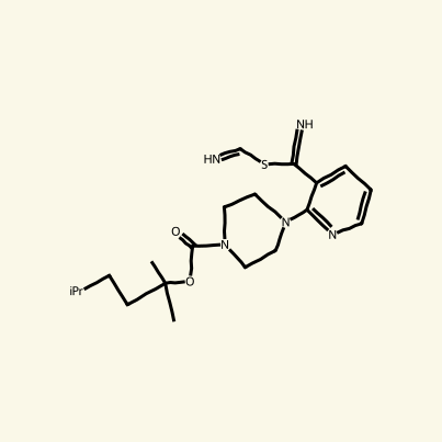 CC(C)CCC(C)(C)OC(=O)N1CCN(c2ncccc2C(=N)SC=N)CC1